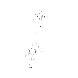 C[C@H]1C(=O)NC(=O)N1COCCCCCNC1(c2ccc(F)c(OCC3CC3)c2)CC1